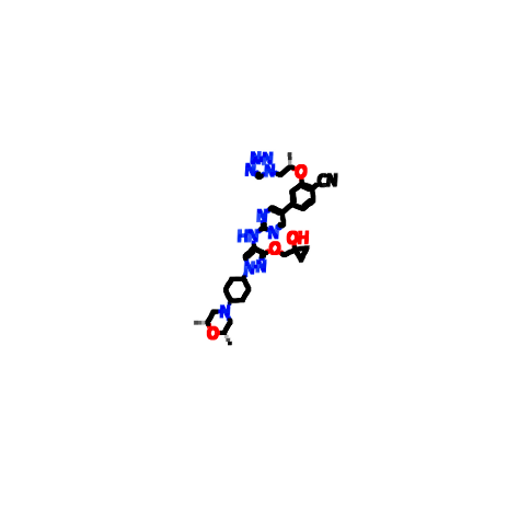 C[C@@H]1CN([C@H]2CC[C@H](n3cc(Nc4ncc(-c5ccc(C#N)c(O[C@@H](C)Cn6cnnn6)c5)cn4)c(OCC4(O)CC4)n3)CC2)C[C@H](C)O1